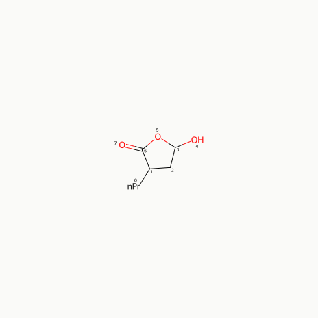 CCCC1CC(O)OC1=O